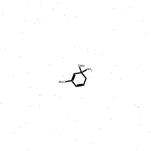 COC1=CC(N)(OC)CC=C1